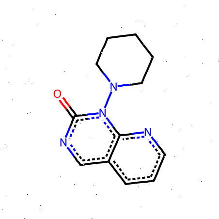 O=c1ncc2cccnc2n1N1CCCCC1